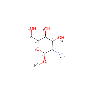 CC(C)O[C@H]1OC(CO)[C@@H](O)C(O)C1N